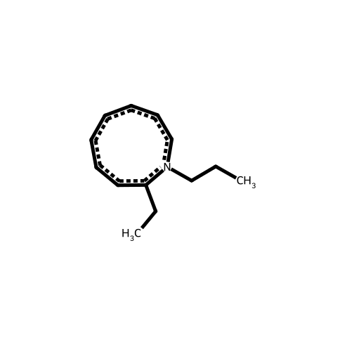 CCCn1cccccccc1CC